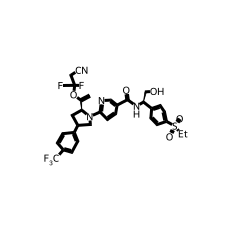 C=C(OC(F)(F)CC#N)[C@@H]1CC(c2ccc(C(F)(F)F)cc2)CN1c1ccc(C(=O)N[C@@H](CO)c2ccc(S(=O)(=O)CC)cc2)cn1